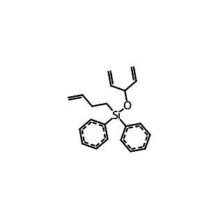 C=CCC[Si](OC(C=C)C=C)(c1ccccc1)c1ccccc1